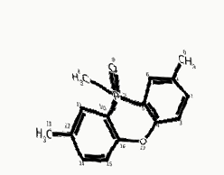 Cc1ccc2c(c1)P(C)(=O)c1cc(C)ccc1O2